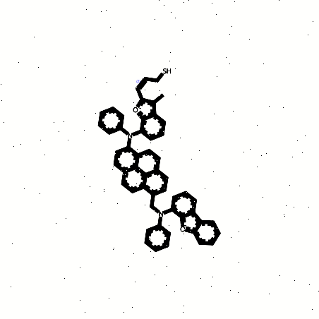 Cc1c(/C=C\CS)oc2c(N(c3ccccc3)c3ccc4ccc5c(CN(c6ccccc6)c6cccc7c6oc6ccccc67)ccc6ccc3c4c65)cccc12